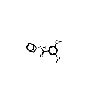 COc1cc(OC)cc(C(=O)N[C@H]2CC3C=CC2C3)c1